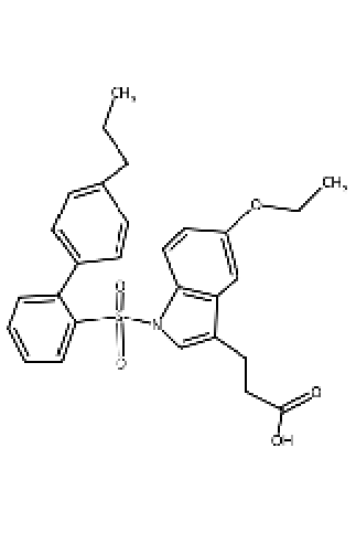 CCCc1ccc(-c2ccccc2S(=O)(=O)n2cc(CCC(=O)O)c3cc(OCC)ccc32)cc1